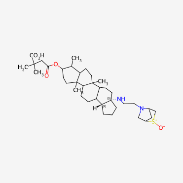 CC1C(OC(=O)CC(C)(C)C(=O)O)CCC2(C)C1CCC1(C)C3CC[C@@]4(NCCN5CC6CC5C[S+]6[O-])CCC[C@@H]4C3CCC21